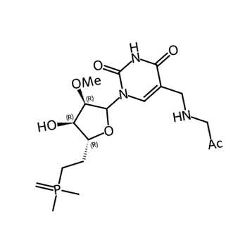 C=P(C)(C)CC[C@H]1OC(n2cc(CNCC(C)=O)c(=O)[nH]c2=O)[C@H](OC)[C@@H]1O